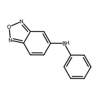 B(c1ccccc1)c1ccc2nonc2c1